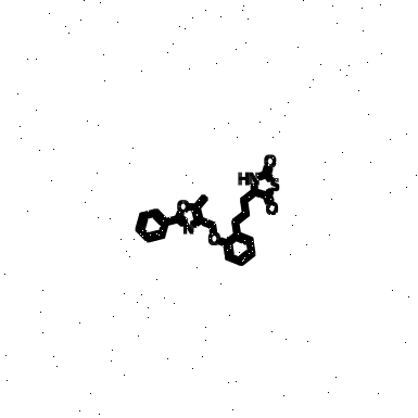 Cc1oc(-c2ccccc2)nc1COc1ccccc1CCCC1NC(=O)SC1=O